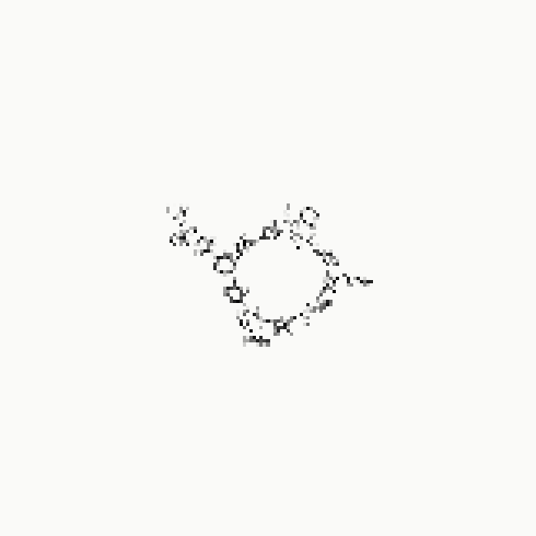 CNC(=O)C[C@@H]1NC(=O)c2csc(n2)-c2ccc(-c3nc(NS(=O)(=O)CCN)cs3)nc2-c2csc(n2)-c2csc(n2)[C@H]([C@@H](O)c2ccccc2)NC(=O)CNC(=O)c2nc(sc2COC)C(C(C)C)NC(=O)c2nc1sc2C